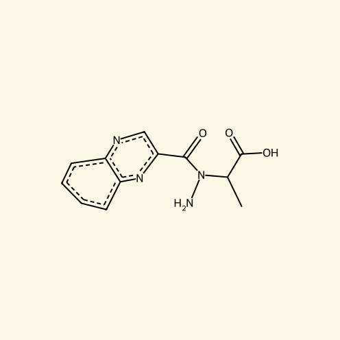 CC(C(=O)O)N(N)C(=O)c1cnc2ccccc2n1